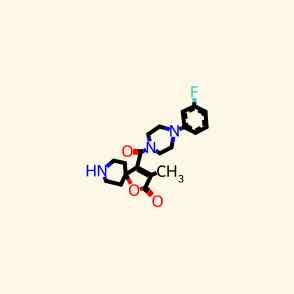 CC1=C(C(=O)N2CCN(c3cccc(F)c3)CC2)C2(CCNCC2)OC1=O